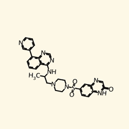 CC(CN1CCN(S(=O)(=O)c2ccc3[nH]c(=O)cnc3c2)CC1)Nc1ncnc2c(-c3cccnc3)cccc12